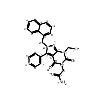 CC(C)Cn1c(=O)n(CC(N)=O)c(=O)c2c(-c3ccncc3)n(Cc3cccc4ccccc34)nc21